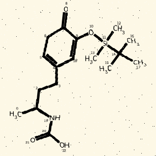 CC(CCC1=CCC(=O)C(O[Si](C)(C)C(C)(C)C)=C1)NC(=O)O